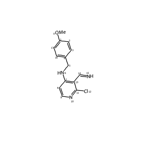 COc1ccc(CNc2ccnc(Cl)c2C=N)cc1